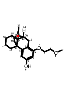 COCCOc1cc(O)cc2c1C[C@@H]1[C@@H]3CCCCC23CCN1C